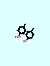 Cc1ccc(O)cc1.Cc1ccc(O)cc1